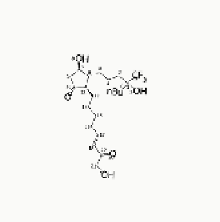 CCCCC(O)(CCC[C@H]1[C@H](O)CC(=O)[C@@H]1CCCCC=CC(=O)CO)C(F)(F)F